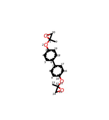 CC1(Oc2ccc(-c3ccc(OC4(C)CO4)cc3)cc2)CO1